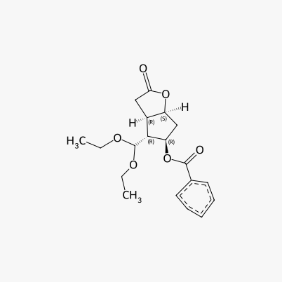 CCOC(OCC)[C@@H]1[C@H]2CC(=O)O[C@H]2C[C@H]1OC(=O)c1ccccc1